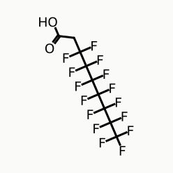 O=C(O)CC(F)(F)C(F)(F)C(F)(F)C(F)(F)C(F)(F)C(F)(F)C(F)(F)F